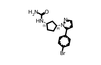 NC(=O)N[C@H]1CC[C@@H](n2nccc2-c2ccc(Br)cc2)C1